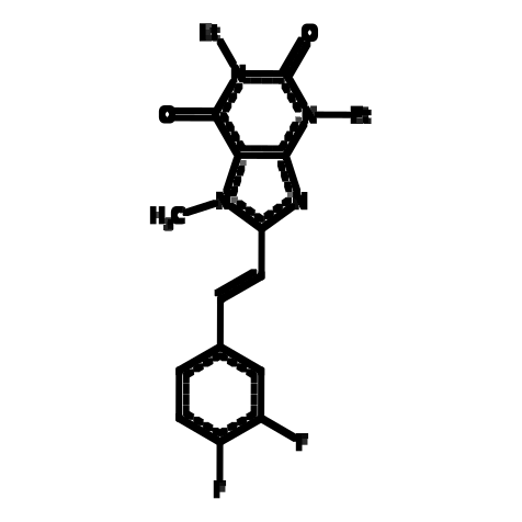 CCn1c(=O)c2c(nc(C=Cc3ccc(F)c(F)c3)n2C)n(CC)c1=O